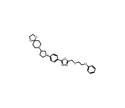 c1ccc(OCCSCc2nnc(-c3ccc(N4CCC(N5CCC6(CC5)OCCO6)C4)cc3)o2)cc1